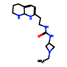 O=C(O)CN1CC(NC(=O)NCCC2=CC=C3CCCNC3N2)C1